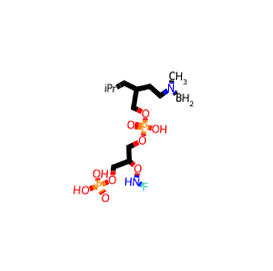 BN(C)CCC(COP(=O)(O)OCC(COP(=O)(O)O)ONF)CC(C)C